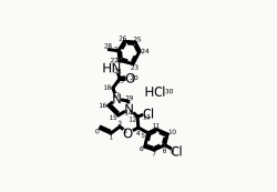 C=CCOC(c1ccc(Cl)cc1)C(Cl)N1C=CN(CC(=O)Nc2ccccc2C)C1.Cl